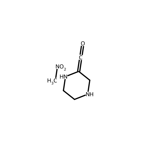 C[N+](=O)[O-].O=C=C1CNCCN1